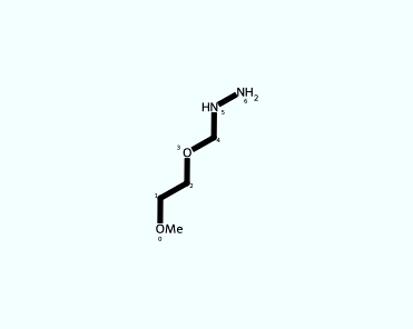 COCCOCNN